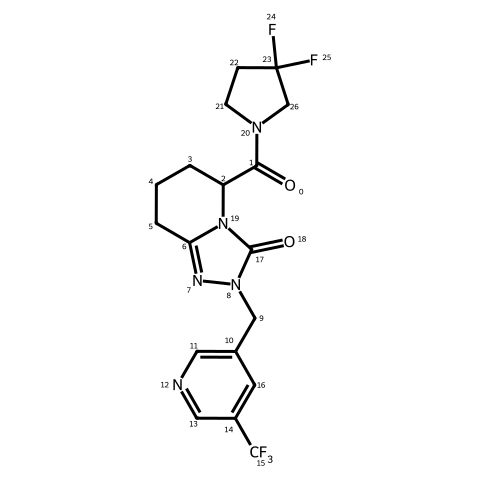 O=C(C1CCCc2nn(Cc3cncc(C(F)(F)F)c3)c(=O)n21)N1CCC(F)(F)C1